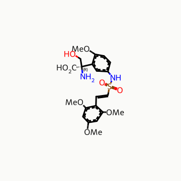 COc1cc(OC)c(C=CS(=O)(=O)Nc2ccc(OC)c([C@@](N)(CO)C(=O)O)c2)c(OC)c1